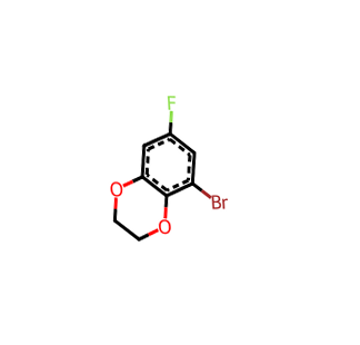 Fc1cc(Br)c2c(c1)OCCO2